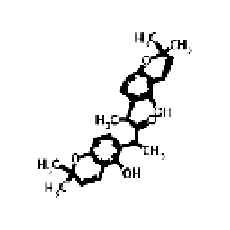 CC(C(=O)C(C)c1ccc2c(c1O)C=CC(C)(C)O2)c1ccc2c(c1O)C=CC(C)(C)O2